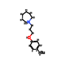 [CH2]CCCc1ccc(OCCCN2CCCCCC2)cc1